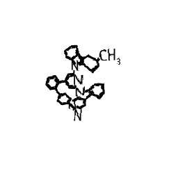 CC1C=Cc2c(c3ccccc3n2-c2cc(-c3ccccc3-c3ccc(C#N)cc3)cc(-n3c4ccccc4c4ccncc43)n2)C1